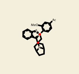 COc1cc(C(C)=O)ccc1OCCN1C2CCC1CC(c1nsc3ccccc13)C2